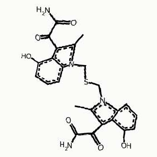 Cc1c(C(=O)C(N)=O)c2c(O)cccc2n1CSCn1c(C)c(C(=O)C(N)=O)c2c(O)cccc21